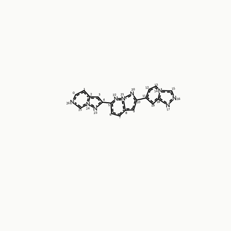 c1cc2cc(-c3ccc4cc(-c5ccn6cnnc6c5)nn4n3)nn2cn1